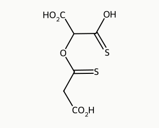 O=C(O)CC(=S)OC(C(=O)O)C(O)=S